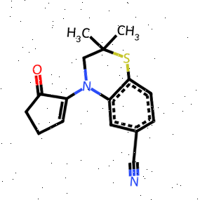 CC1(C)CN(C2=CCCC2=O)c2cc(C#N)ccc2S1